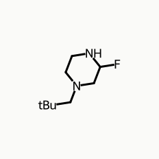 CC(C)(C)CN1CCNC(F)C1